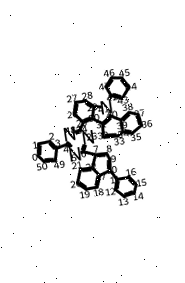 c1ccc(-c2nc(-c3ccc(-c4ccccc4)c4ccccc34)nc(-c3cccc4c3c3ccc5ccccc5c3n4-c3ccccc3)n2)cc1